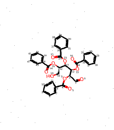 O=C[C@@H](OC(=O)c1ccccc1)[C@H](OC(=O)c1ccccc1)[C@H](OC(=O)c1ccccc1)[C@@H](CO)OC(=O)c1ccccc1